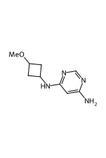 COC1CC(Nc2cc(N)ncn2)C1